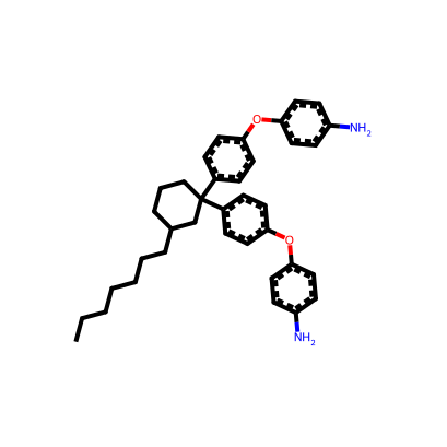 CCCCCCCC1CCCC(c2ccc(Oc3ccc(N)cc3)cc2)(c2ccc(Oc3ccc(N)cc3)cc2)C1